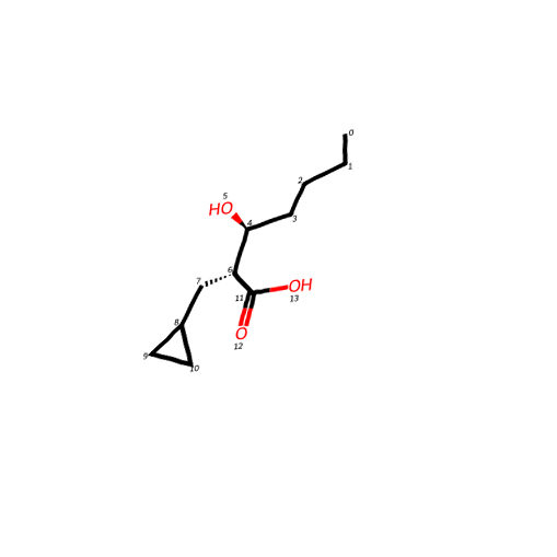 CCCC[C@H](O)[C@@H](CC1CC1)C(=O)O